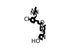 Cc1nnn(Cc2cc(Cl)ccc2/C=C/C(=O)N2CCN(Cc3ccc(O)cn3)CC2C)n1